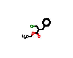 CCOC(=O)C(CCl)Cc1ccccc1